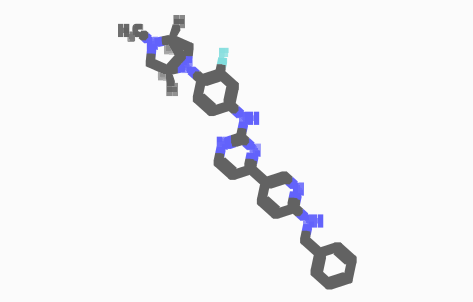 CN1C[C@@H]2C[C@H]1CN2c1ccc(Nc2nccc(-c3ccc(NCc4ccccc4)nc3)n2)cc1F